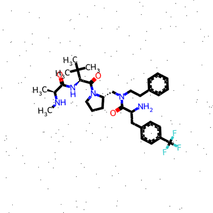 CN[C@@H](C)C(=O)N[C@H](C(=O)N1CCC[C@H]1CN(CCc1ccccc1)C(=O)C(N)Cc1ccc(C(F)(F)F)cc1)C(C)(C)C